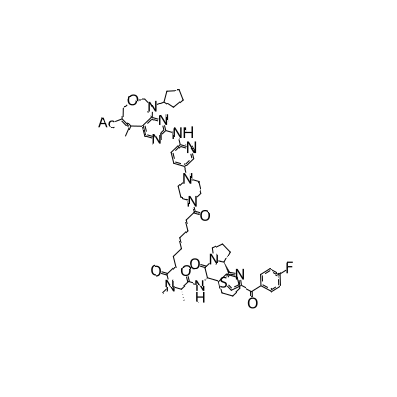 CC(=O)/C1=C(\C)c2cnc(Nc3ccc(N4CCN(C(=O)CCCCCCC(=O)N(C)[C@@H](C)C(=O)N[C@H](C(=O)N5CCC[C@H]5c5nc(C(=O)c6ccc(F)cc6)cs5)C5CCCCC5)CC4)cn3)nc2N(C2CCCC2)COC1